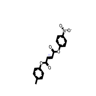 Cc1ccc(OC(=O)/C=C/C(=O)Oc2ccc([N+](=O)[O-])cc2)cc1